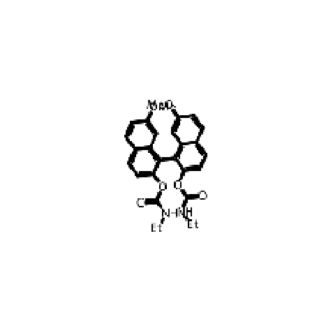 [CH2]CNC(=O)Oc1ccc2ccc(OC)cc2c1-c1c(OC(=O)NC[CH2])ccc2ccc(OC)cc12